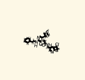 Cn1cc(-c2cnc(NCCc3ccccc3)c(=O)n2CC(=O)NCc2cnc3scc(Cl)c3c2)cn1